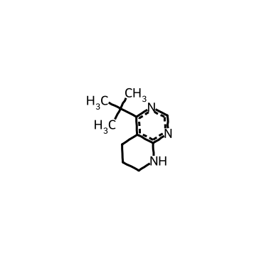 CC(C)(C)c1ncnc2c1CCCN2